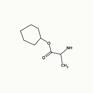 CC([NH])C(=O)OC1CCCCC1